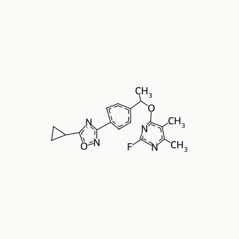 Cc1nc(F)nc(OC(C)c2ccc(-c3noc(C4CC4)n3)cc2)c1C